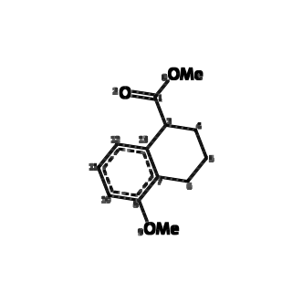 COC(=O)C1CCCc2c(OC)cccc21